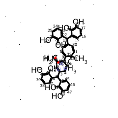 CN\C=C(/C=C\C(=C\N)C1=CC=C(C(c2cccc(O)c2O)c2cccc(O)c2O)C=CC1(C)C)C(c1cccc(O)c1O)c1cccc(O)c1O